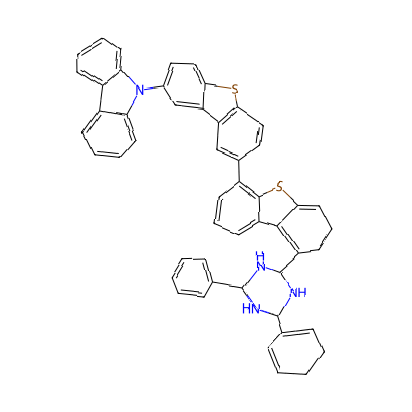 C1=CC(C2NC(C3=c4c(sc5c(-c6ccc7sc8ccc(-n9c%10ccccc%10c%10ccccc%109)cc8c7c6)cccc45)=CCC3)NC(c3ccccc3)N2)=CCC1